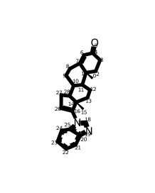 C[C@]12CCC(=O)C=C1CCC1C2CC[C@]2(C)C(n3cnc4ccccc43)=CCC12